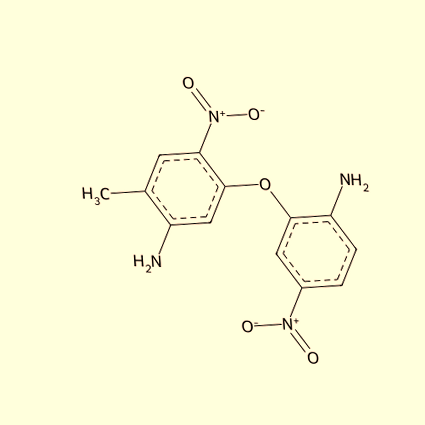 Cc1cc([N+](=O)[O-])c(Oc2cc([N+](=O)[O-])ccc2N)cc1N